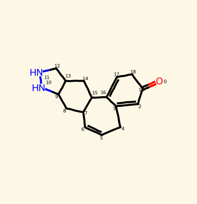 O=C1C=C2CC=CC3CC4NNCC4CC3C2=CC1